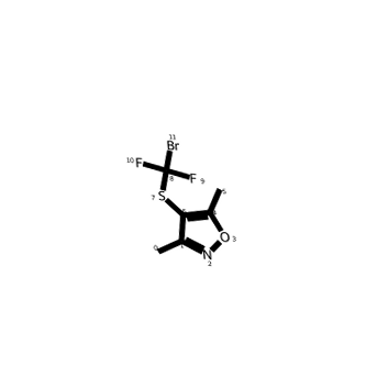 Cc1noc(C)c1SC(F)(F)Br